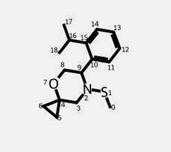 CSN1CC2(CC2)OCC1c1ccccc1C(C)C